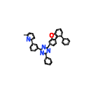 Cc1cccc(-c2cccc(-c3nc(-c4ccccc4)nc(-c4ccc5c(c4)oc4cccc(-c6ccccc6)c45)n3)c2)n1